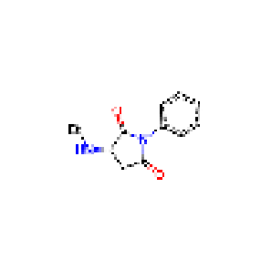 CCN[C@@H]1CC(=O)N(c2ccccc2)C1=O